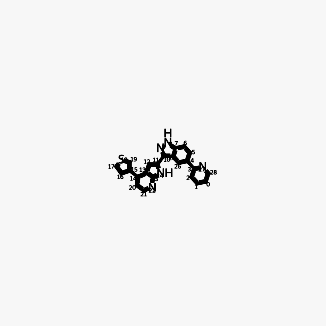 c1ccc(-c2ccc3[nH]nc(-c4cc5c(-c6ccsc6)ccnc5[nH]4)c3c2)nc1